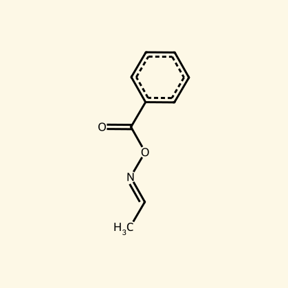 CC=NOC(=O)c1ccccc1